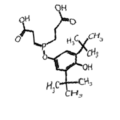 CC(C)(C)c1cc(OP(CCC(=O)O)CCC(=O)O)cc(C(C)(C)C)c1O